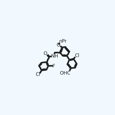 CCCOc1ccc(-c2cc(C=O)ccc2Cl)cc1CNC(=O)c1ccc(Cl)cc1F